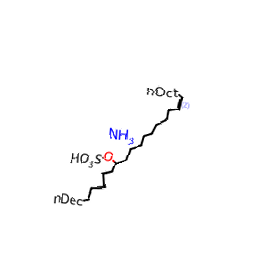 CCCCCCCC/C=C\CCCCCCCCC(CCCCCCCCCCCCCCC)OS(=O)(=O)O.N